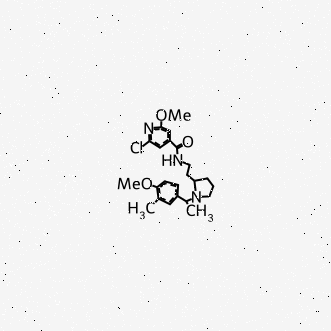 COc1cc(C(=O)NCCC2CCCN2C(C)c2ccc(OC)c(C)c2)cc(Cl)n1